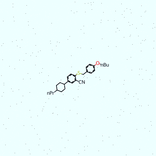 CCCCOc1ccc(CSc2ccc(C3CCC(CCC)CC3)cc2C#N)cc1